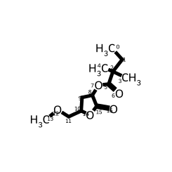 CCC(C)(C)C(=O)OC1CC(COC)OC1=O